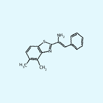 Cc1ccc2sc(C(N)=Cc3ccccc3)nc2c1C